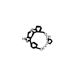 Fc1cccc2c1-c1cc3c(n[nH]c3cn1)-c1ccc(cc1)OCCN1CCC[C@@H]1COC2